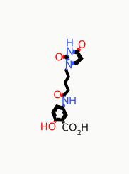 O=C(CCCCn1ccc(=O)[nH]c1=O)Nc1ccc(O)c(C(=O)O)c1